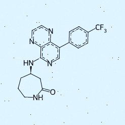 O=C1C[C@H](Nc2ncc(-c3ccc(C(F)(F)F)cc3)c3nccnc23)CCCN1